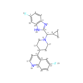 Fc1ccc2nc(C(C3CC3)N3CCC(c4ccnc5ccc(F)cc45)CC3)[nH]c2c1